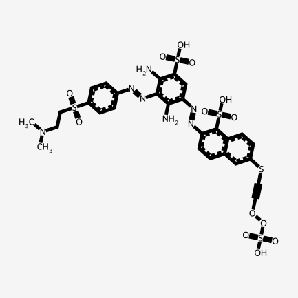 CN(C)CCS(=O)(=O)c1ccc(N=Nc2c(N)c(N=Nc3ccc4cc(SC#COOS(=O)(=O)O)ccc4c3S(=O)(=O)O)cc(S(=O)(=O)O)c2N)cc1